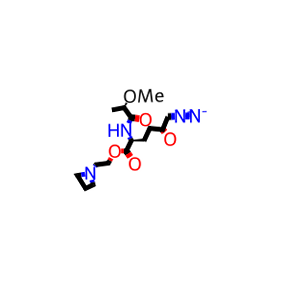 CO[C@@H](C)C(=O)N[C@@H](CCC(=O)C=[N+]=[N-])C(=O)OCCN1CCC1